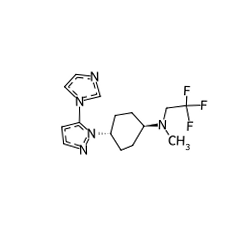 CN(CC(F)(F)F)[C@H]1CC[C@H](n2nccc2-n2ccnc2)CC1